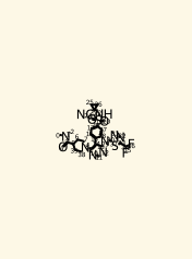 CN(C)C(=O)C1CCN(c2ncnc3c2c2ccc(S(=O)(=O)NC4(C#N)CC4)cc2n3-c2nnc(C(F)F)s2)CC1